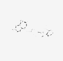 CCOc1ccccc1C(=O)NC1CCC(Nc2ccnc3cc(Cl)ccc23)CC1